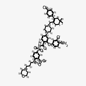 CC1(C)CCC(CN2CCN(c3ccc(C(=O)NS(=O)(=O)c4ccc(NCCCN5CCOCC5)c([N+](=O)[O-])c4)c(Oc4ccc(N)c(Cl)c4)c3)CC2)=C(c2ccc(Cl)cc2)C1